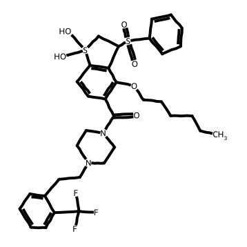 CCCCCCOc1c(C(=O)N2CCN(CCc3ccccc3C(F)(F)F)CC2)ccc2c1C(S(=O)(=O)c1ccccc1)CS2(O)O